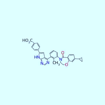 Cc1c(-c2ncnc3[nH]c(-c4ccc(C(=O)O)cc4)cc23)cccc1N1CCOc2cc(C3CC3)ccc2C1=O